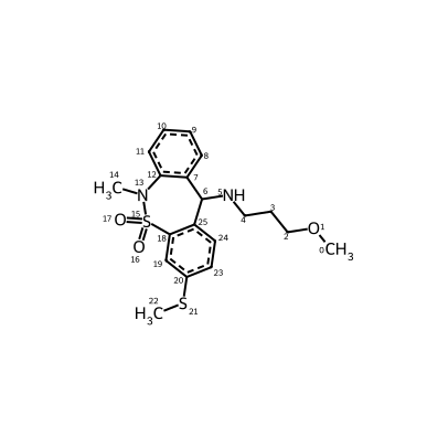 COCCCNC1c2ccccc2N(C)S(=O)(=O)c2cc(SC)ccc21